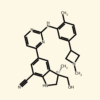 Cc1ccc(C2CN(C)C2)cc1Nc1nccc(-c2cc(C#N)c3c(c2)[C@@](C)(CO)CN3)n1